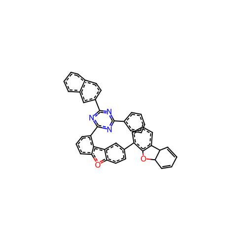 C1=CC2Oc3c(-c4ccc5oc6cccc(-c7nc(-c8ccccc8)nc(-c8ccc9ccccc9c8)n7)c6c5c4)cccc3C2C=C1